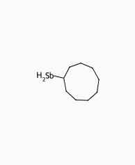 [SbH2][CH]1CCCCCCCC1